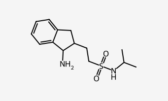 CC(C)NS(=O)(=O)CCC1Cc2ccccc2C1N